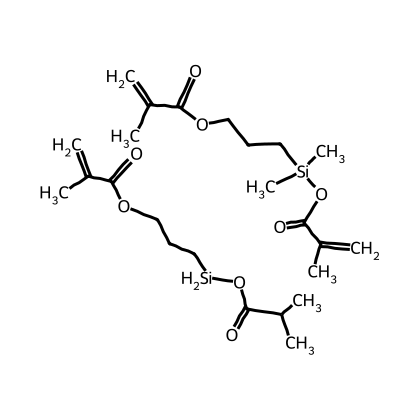 C=C(C)C(=O)OCCC[SiH2]OC(=O)C(C)C.C=C(C)C(=O)OCCC[Si](C)(C)OC(=O)C(=C)C